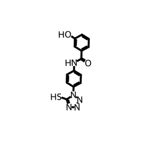 O=C(Nc1ccc(-n2nnnc2S)cc1)c1cccc(O)c1